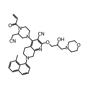 C=CC(=O)N1CCN(c2c(C#N)c(OCC(O)CN3CCOCC3)nc3c2CCN(c2cccc4cccc(C)c24)C3)CC1CC#N